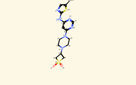 N#Cc1cnc(Nc2cc(N3CCN(C4CS(=O)(=O)C4)CC3)ncn2)s1